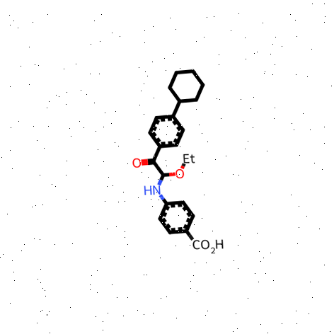 CCOC(Nc1ccc(C(=O)O)cc1)C(=O)c1ccc(C2CCCCC2)cc1